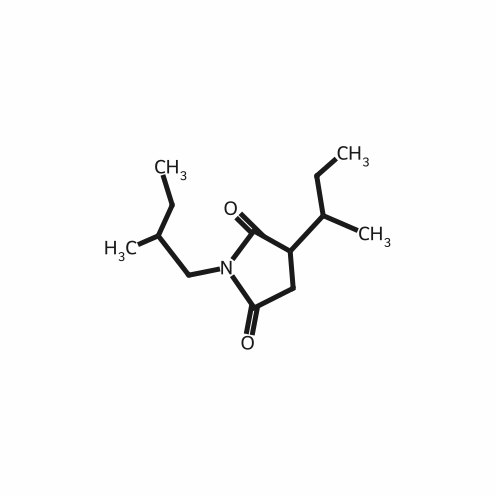 CCC(C)CN1C(=O)CC(C(C)CC)C1=O